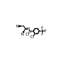 N#CCC(C#N)=NN(Cl)c1ccc(C(F)(F)F)cc1Cl